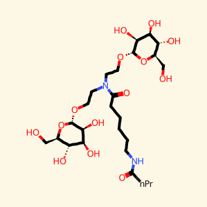 CCCC(=O)NCCCCCC(=O)N(CCO[C@H]1O[C@H](CO)[C@@H](O)[C@H](O)[C@@H]1O)CCO[C@H]1O[C@H](CO)[C@@H](O)[C@H](O)[C@@H]1O